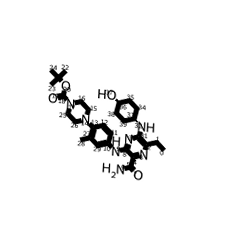 CCc1nc(C(N)=O)c(Nc2ccc(N3CCN(C(=O)OC(C)(C)C)CC3)c(C)c2)nc1N[C@H]1CC[C@H](O)CC1